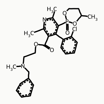 Cc1nc(C)c(P2(=O)OCCC(C)O2)c(-c2ccccc2Cl)c1C(=O)OCCN(C)Cc1ccccc1